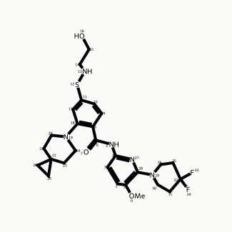 COc1ccc(NC(=O)c2ccc(SNCCO)cc2N2CCC3(CC2)CC3)nc1N1CCC(F)(F)CC1